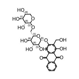 O=C1c2ccccc2C(=O)c2c1cc(O[C@H]1O[C@@H](CO[C@@H]3OC[C@@H](O)[C@H](O)[C@H]3O)[C@H](O)[C@@H](O)[C@@H]1O)c(CO)c2O